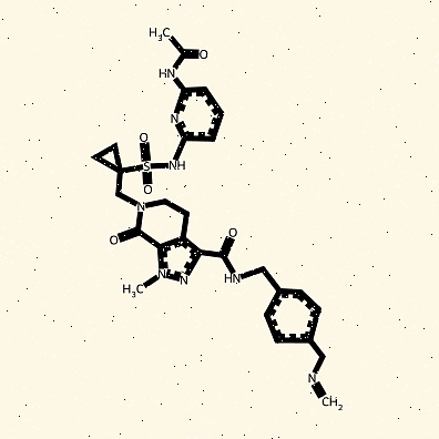 C=NCc1ccc(CNC(=O)c2nn(C)c3c2CCN(CC2(S(=O)(=O)Nc4cccc(NC(C)=O)n4)CC2)C3=O)cc1